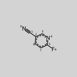 N#Cc1[c]nc(F)cc1